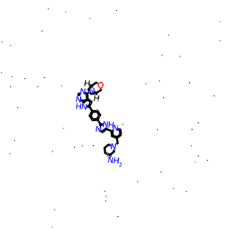 N[C@@H]1CCCN(Cc2ccnc(-c3cnc(-c4ccc(-c5cc6c(N7[C@@H]8CC[C@H]7COC8)ncnc6[nH]5)cc4)[nH]3)c2)C1